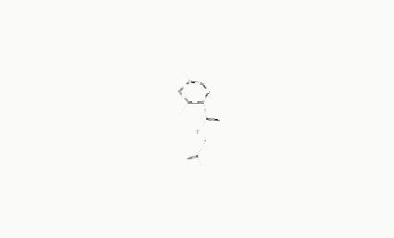 Cc1ccc(C(=O)NCC(=O)O)c(F)c1